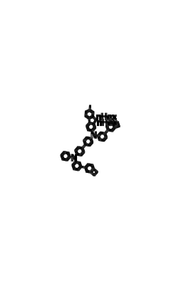 CCCCCCC1(CCCCCC)c2cc(C)ccc2-c2ccc(N(c3ccc(-c4ccc(N(c5ccccc5)c5cccc(-c6ccc7c(c6)CC7)c5)cc4)cc3)c3cccc(-c4ccc5c(c4)CC5)c3)cc21